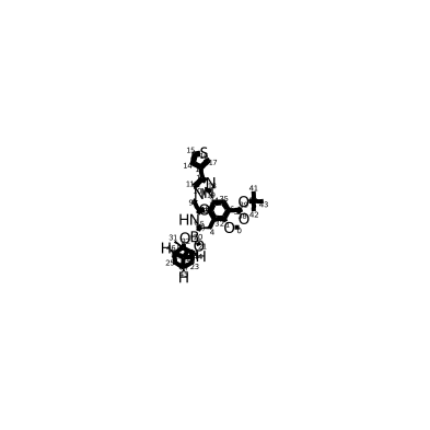 COc1c(C[C@H](NC(=O)Cn2cc(-c3ccsc3)nn2)B2O[C@@H]3C[C@@H]4C[C@@H](C4(C)C)[C@]3(C)O2)cccc1C(=O)OC(C)(C)C